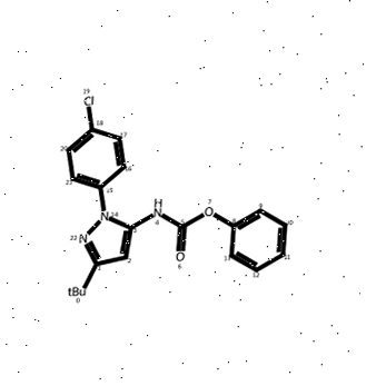 CC(C)(C)c1cc(NC(=O)Oc2ccccc2)n(-c2ccc(Cl)cc2)n1